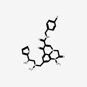 CN(Cc1cc2c3c(c1)c(=O)c(C(=O)NCc1ccc(F)cc1)cn3CC(=O)N2C)C[C@@H](O)c1cccs1